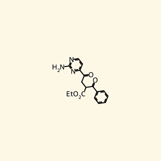 CCOC(=O)C(CC(=O)c1ccnc(N)n1)C(=O)c1ccccc1